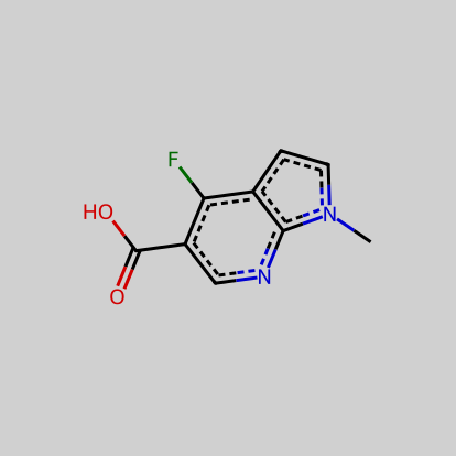 Cn1ccc2c(F)c(C(=O)O)cnc21